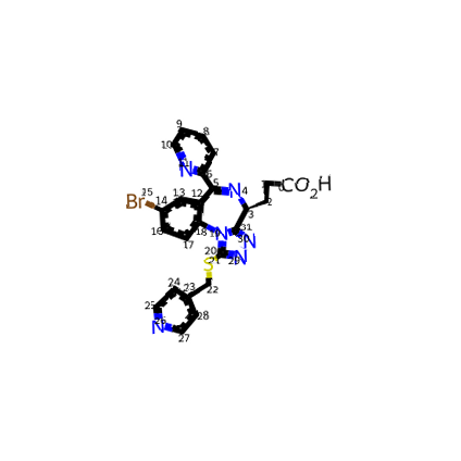 O=C(O)CC[C@@H]1N=C(c2ccccn2)c2cc(Br)ccc2-n2c(SCc3ccncc3)nnc21